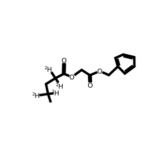 [2H]C([2H])(C)CC([2H])([2H])C(=O)OCC(=O)OCc1ccccc1